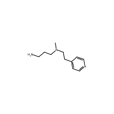 CN(CCCN)CCc1ccncc1